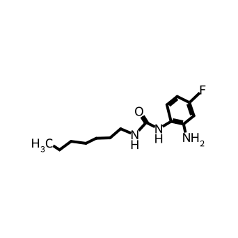 CCCCCCCNC(=O)Nc1ccc(F)cc1N